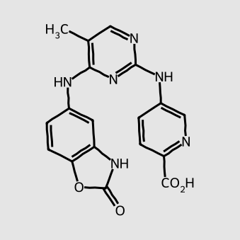 Cc1cnc(Nc2ccc(C(=O)O)nc2)nc1Nc1ccc2oc(=O)[nH]c2c1